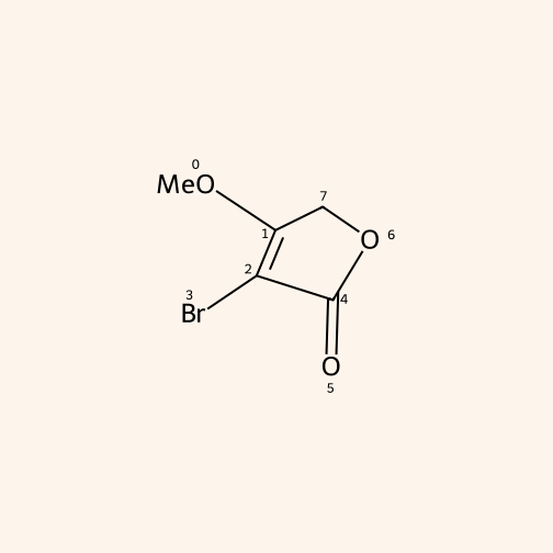 COC1=C(Br)C(=O)OC1